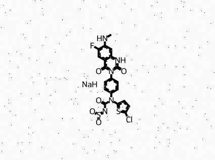 CNc1cc2[nH]c(=O)n(-c3ccc(N(C(=O)N=S(=O)=O)c4ccc(Cl)s4)cc3)c(=O)c2cc1F.[NaH]